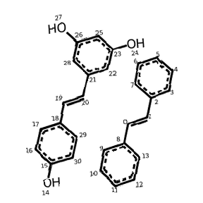 C(=Cc1ccccc1)c1ccccc1.Oc1ccc(C=Cc2cc(O)cc(O)c2)cc1